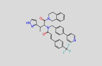 CC(c1cc[nH]n1)C(C(=O)N1CCc2ccccc2C1)N(Cc1ccc(-c2ccncc2)cc1)C(=O)C=Cc1ccc(C(F)(F)F)cc1